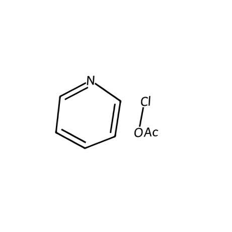 CC(=O)OCl.c1ccncc1